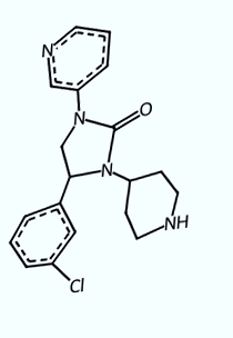 O=C1N(c2cccnc2)CC(c2cccc(Cl)c2)N1C1CCNCC1